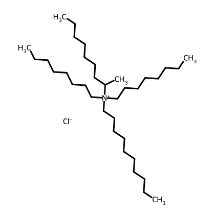 CCCCCCCCCC[N+](CCCCCCCC)(CCCCCCCC)C(C)CCCCCCC.[Cl-]